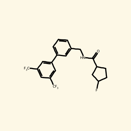 O=C(NCc1cccc(-c2cc(C(F)(F)F)cc(C(F)(F)F)c2)c1)C1CCC(F)C1